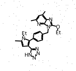 CCOc1nc2c(C)cc(C)nc2n1Cc1ccc(-c2c(-c3nnn[nH]3)cc(C)n2CC)cc1